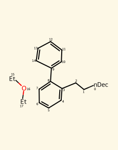 CCCCCCCCCCCCc1ccccc1-c1ccccc1.CCOCC